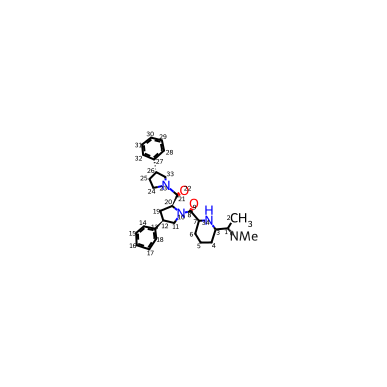 CNC(C)C1CCCC(C(=O)N2C[C@@H](c3ccccc3)C[C@H]2C(=O)N2CC[C@H](c3ccccc3)C2)N1